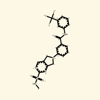 CNS(=O)(=O)c1ncc2c(n1)CN(c1cccc(C(=O)Nc3cccc(C(F)(F)F)c3)c1)C2